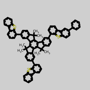 CC1(C)c2ccc(-c3cccc4c3sc3ccccc34)cc2-c2c1c1c(c3c2C(C)(C)c2ccc(-c4cccc5c4sc4ccc(-c6ccccc6)cc45)cc2-3)C(C)(C)c2ccc(-c3cccc4c3sc3ccccc34)cc2-1